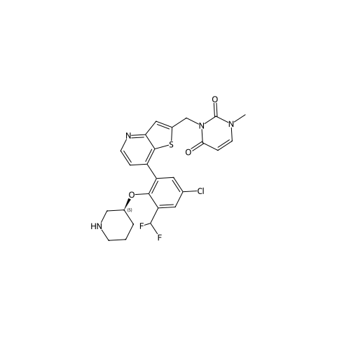 Cn1ccc(=O)n(Cc2cc3nccc(-c4cc(Cl)cc(C(F)F)c4O[C@H]4CCCNC4)c3s2)c1=O